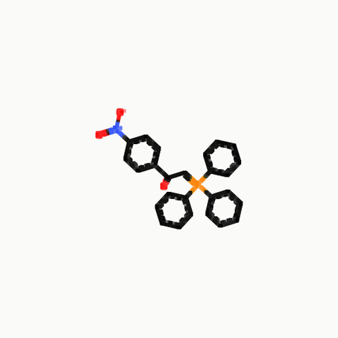 O=C(C=P(c1ccccc1)(c1ccccc1)c1ccccc1)c1ccc([N+](=O)[O-])cc1